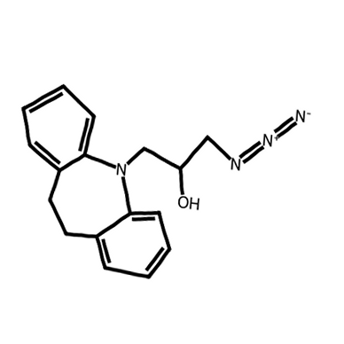 [N-]=[N+]=NCC(O)CN1c2ccccc2CCc2ccccc21